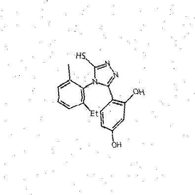 CCc1cccc(C)c1-n1c(S)nnc1-c1ccc(O)cc1O